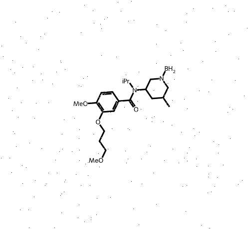 BN1CC(C)CC(N(C(=O)c2ccc(OC)c(OCCCOC)c2)C(C)C)C1